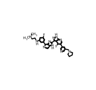 CN(C)CCNc1cc(F)cc(-c2nccc3[nH]c(-c4n[nH]c5ncc(-c6cncc(CN7CCCC7)c6)c(F)c45)nc23)c1